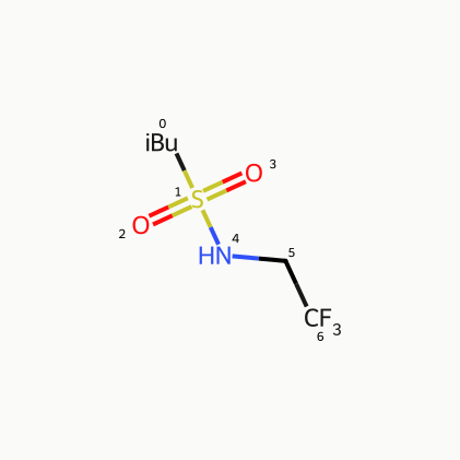 CCC(C)S(=O)(=O)NCC(F)(F)F